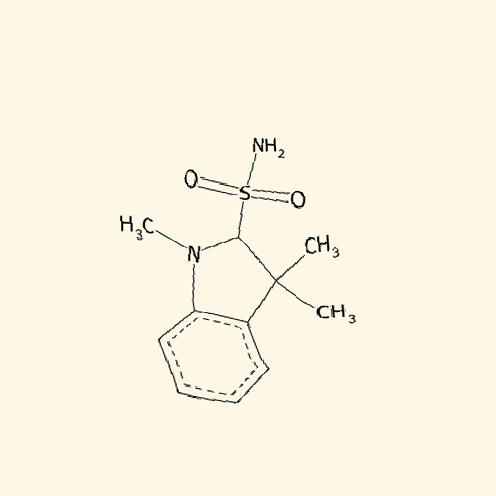 CN1c2ccccc2C(C)(C)C1S(N)(=O)=O